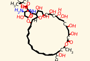 C[C@H]1C[C@H](O)[C@@H](C)/C=C/C=C/C=C/C=C/C=C/C=C/C=C/C(O[C@@H]2OC[C@@H](O)[C@H](N)[C@@H]2O)C[C@@H]2OC(O)(CC(O)C[C@@H](O)[C@H](O)CCC(O)CC(O)CC(=O)O1)C[C@H](O)C2C(=O)NCC(=O)OC(C)(C)C